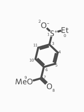 CC[S+]([O-])c1ccc(C(=O)OC)cc1